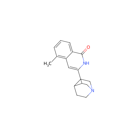 Cc1cccc2c(=O)[nH]c(C3CN4CCC3CC4)cc12